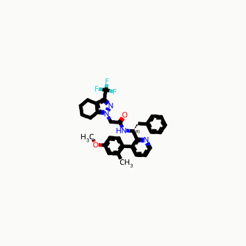 COc1ccc(-c2cccnc2[C@@H](Cc2ccccc2)NC(=O)Cn2nc(C(F)(F)F)c3c2CCCC3)c(C)c1